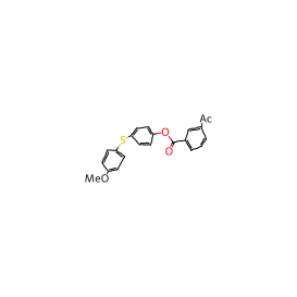 COc1ccc(Sc2ccc(OC(=O)c3cccc(C(C)=O)c3)cc2)cc1